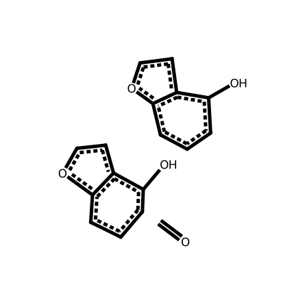 C=O.Oc1cccc2occc12.Oc1cccc2occc12